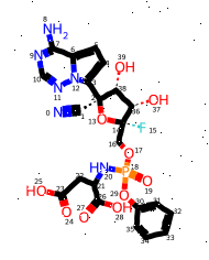 N#C[C@@]1(c2ccc3c(N)ncnn23)O[C@](F)(COP(=O)(NC(CC(=O)O)C(=O)O)Oc2ccccc2)[C@@H](O)[C@H]1O